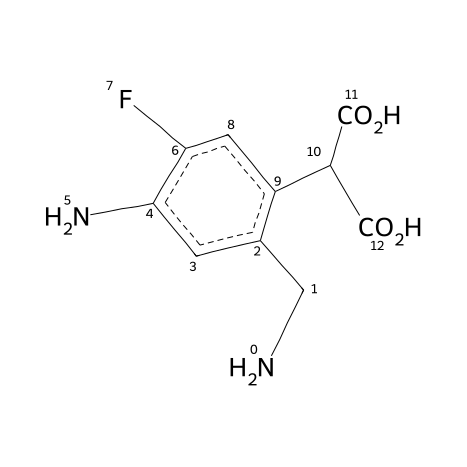 NCc1cc(N)c(F)cc1C(C(=O)O)C(=O)O